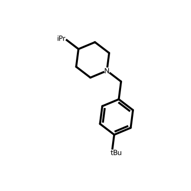 CC(C)C1CCN(Cc2ccc(C(C)(C)C)cc2)CC1